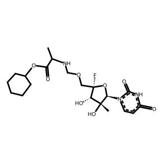 CC(NCOC[C@@]1(F)O[C@@H](n2ccc(=O)[nH]c2=O)[C@](C)(O)[C@@H]1O)C(=O)OC1CCCCC1